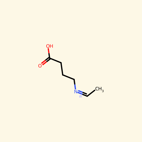 C/C=N\CCCC(=O)O